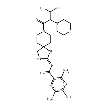 Cc1nc(C(=O)/N=C2\NCC3(CCN(C(=O)C(C(C)C)N4CCSCC4)CC3)N2)c(N)nc1N